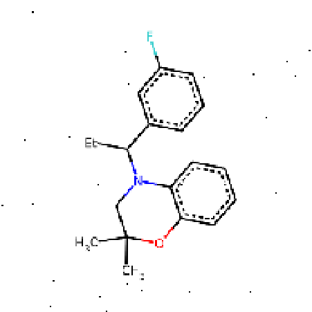 CCC(c1cccc(F)c1)N1CC(C)(C)Oc2ccccc21